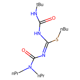 CCCCSC(=NC(=O)N(CCC)CCC)NC(=O)NC(C)(C)C